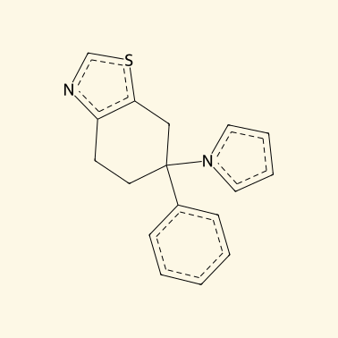 c1ccc(C2(n3cccc3)CCc3ncsc3C2)cc1